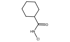 O=C(NCl)C1CCCCC1